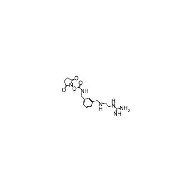 N=C(N)NCCNCc1cccc(CNC(=O)ON2C(=O)CCC2=O)c1